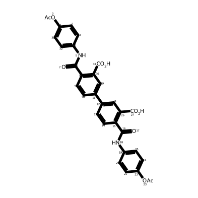 CC(=O)Oc1ccc(NC(=O)c2ccc(-c3ccc(C(=O)Nc4ccc(OC(C)=O)cc4)c(C(=O)O)c3)cc2C(=O)O)cc1